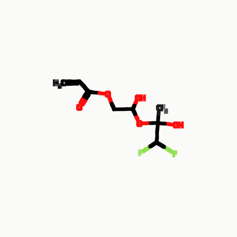 C=CC(=O)OCC(O)OC(O)(C(F)F)C(F)(F)F